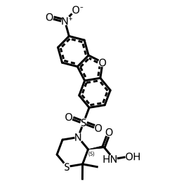 CC1(C)SCCN(S(=O)(=O)c2ccc3oc4cc([N+](=O)[O-])ccc4c3c2)[C@H]1C(=O)NO